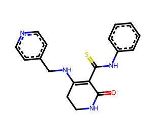 O=C1NCCC(NCc2ccncc2)=C1C(=S)Nc1ccccc1